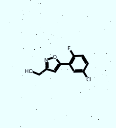 OCc1cc(-c2cc(Cl)ccc2F)on1